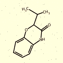 CC(C)C1Oc2ccccc2NC1=O